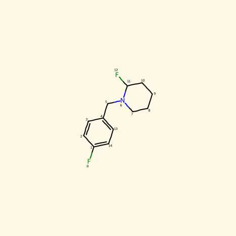 Fc1ccc(CN2CCCCC2F)cc1